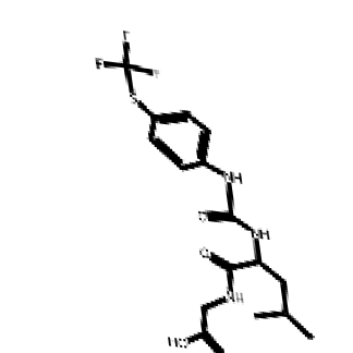 CC(C)CC(NC(=O)Nc1ccc(SC(F)(F)F)cc1)C(=O)NCC(=O)O